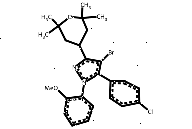 COc1ccccc1-n1nc(C2CC(C)(C)OC(C)(C)C2)c(Br)c1-c1ccc(Cl)cc1